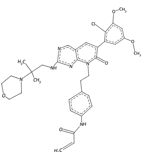 C=CC(=O)Nc1ccc(CCn2c(=O)c(-c3cc(OC)cc(OC)c3Cl)cc3cnc(NCC(C)(C)N4CCOCC4)nc32)cc1